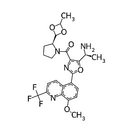 COc1ccc(-c2nc(C(=O)N3CCC[C@H]3C3OC(C)O3)c([C@H](C)N)o2)c2ccc(C(F)(F)F)nc12